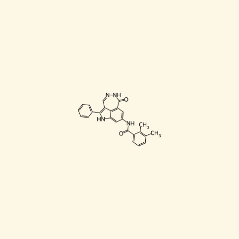 Cc1cccc(C(=O)Nc2cc3c4c(c(-c5ccccc5)[nH]c4c2)C=NNC3=O)c1C